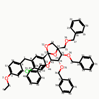 CCOc1ccc(Cc2cc([C@@]34OC[C@@](COCc5ccccc5)(O3)[C@@H](OCc3ccccc3)[C@H](OCc3ccccc3)[C@H]4OCc3ccccc3)ccc2Cl)cc1